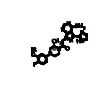 CCOc1cc(N2CCN(C(=O)Cn3nc(-c4ncc[nH]4)c4c(N)ncnc43)[C@@H](C)C2)ccc1I